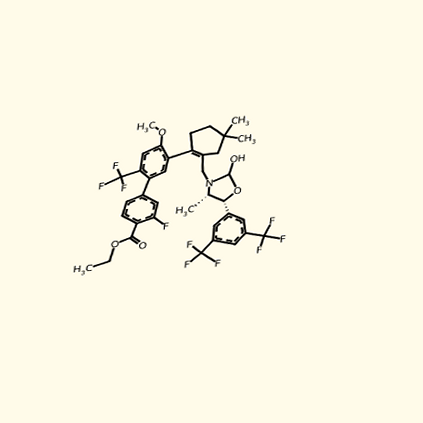 CCOC(=O)c1ccc(-c2cc(C3=C(CN4C(O)O[C@H](c5cc(C(F)(F)F)cc(C(F)(F)F)c5)[C@@H]4C)CC(C)(C)CC3)c(OC)cc2C(F)(F)F)cc1F